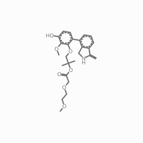 C=C1NCc2c1cccc2-c1ccc(O)c(OC)c1OCC(C)(C)OC(=O)COCCOC